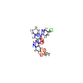 CC(C)S(=O)(=O)c1ccc2ncn(C(CC3CCCCC3)C(=O)Nc3ccc(Cl)cn3)c(=O)c2c1